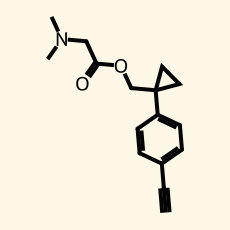 C#Cc1ccc(C2(COC(=O)CN(C)C)CC2)cc1